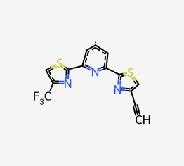 C#Cc1csc(-c2c[c]cc(-c3nc(C(F)(F)F)cs3)n2)n1